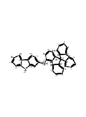 c1ccc2c(c1)-c1ccccc1C21c2ccccc2-c2c(Nc3ccc4c(c3)sc3ccccc34)cccc21